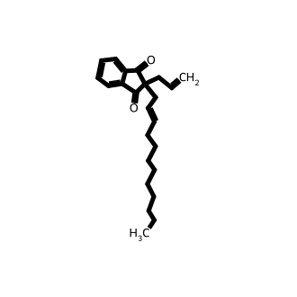 C=CCC1(CC=CCCCCCCCCC)C(=O)c2ccccc2C1=O